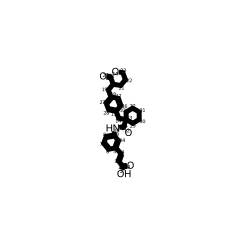 O=C(O)/C=C/c1cccc(NC(=O)C2(Cc3ccc(CC4CCCOC4=O)cc3)CCCCC2)c1